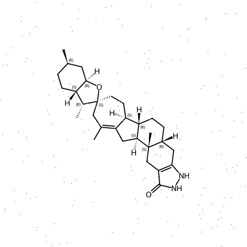 CC1=C2C[C@H]3[C@@H](CC[C@@H]4Cc5[nH][nH]c(=O)c5C[C@@]43C)[C@@H]2CC[C@@]2(C1)O[C@@H]1C[C@H](C)CC[C@H]1[C@H]2C